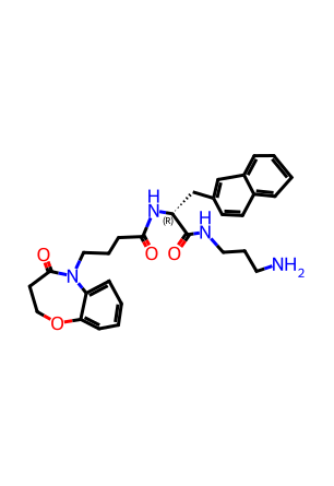 NCCCNC(=O)[C@@H](Cc1ccc2ccccc2c1)NC(=O)CCCN1C(=O)CCOc2ccccc21